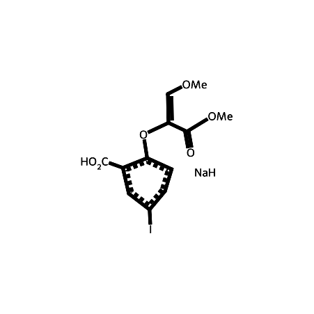 CO/C=C(/Oc1ccc(I)cc1C(=O)O)C(=O)OC.[NaH]